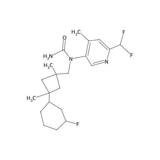 Cc1cc(C(F)F)ncc1N(CC1(C)CC(C)(C2CCCC(F)C2)C1)C(N)=O